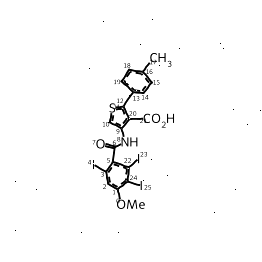 COc1cc(I)c(C(=O)Nc2csc(-c3ccc(C)cc3)c2C(=O)O)c(I)c1I